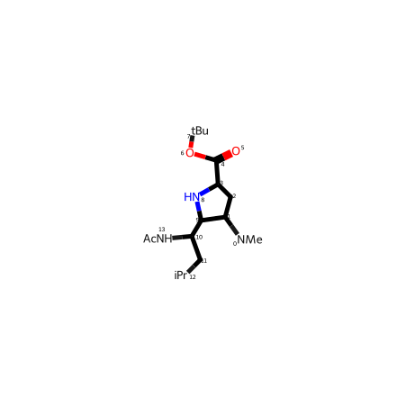 CNC1CC(C(=O)OC(C)(C)C)NC1C(CC(C)C)NC(C)=O